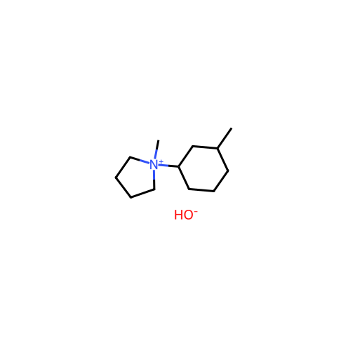 CC1CCCC([N+]2(C)CCCC2)C1.[OH-]